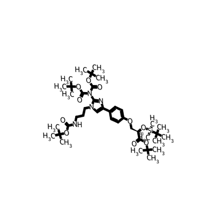 CC(C)(C)OC(=O)NCCCn1cc(-c2ccc(OC[C@@H](O[Si](C)(C)C(C)(C)C)C(=O)OC(C)(C)C)cc2)nc1N(C(=O)OC(C)(C)C)C(=O)OC(C)(C)C